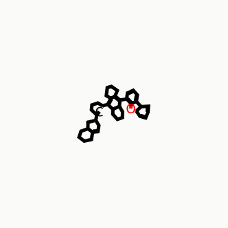 C1=CC2Oc3c(C4=C5CCCCC5=C(C5CCCC(C6CC=C7CCCCC7C6)C5)C5CCCCC45)cccc3C2C=C1